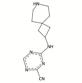 N#Cc1ncnc(NC2CC3(CCNCC3)C2)n1